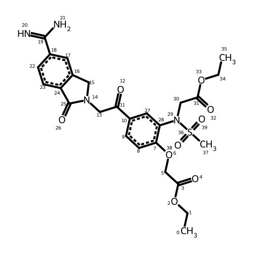 CCOC(=O)COc1ccc(C(=O)CN2Cc3cc(C(=N)N)ccc3C2=O)cc1N(CC(=O)OCC)S(C)(=O)=O